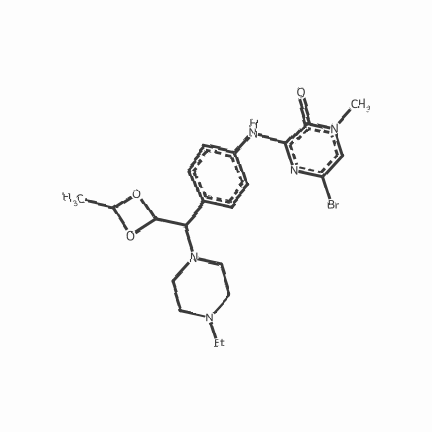 CCN1CCN(C(c2ccc(Nc3nc(Br)cn(C)c3=O)cc2)C2OC(C)O2)CC1